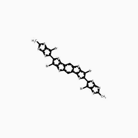 Cc1nc2sc(-c3sc4c(sc5cc6c(cc54)sc4c(Br)c(-c5sc7nc(C)sc7c5Br)sc46)c3Br)c(Br)c2s1